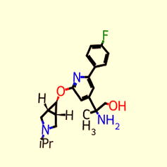 CC(C)N1C[C@@H]2[C@H](C1)[C@H]2Oc1cc(C(C)(N)CO)cc(-c2ccc(F)cc2)n1